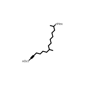 [CH2]CCCCCCCC#CCCCCC(C)CCCCCCC(C)CCCCC[CH2]